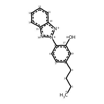 CCCCc1[c]cc(-n2nc3ccccc3n2)c(O)c1